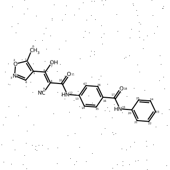 Cc1oncc1/C(O)=C(\C#N)C(=O)Nc1ccc(C(=O)Nc2ccccc2)cc1